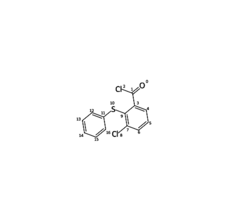 O=C(Cl)c1cccc(Cl)c1Sc1ccccc1